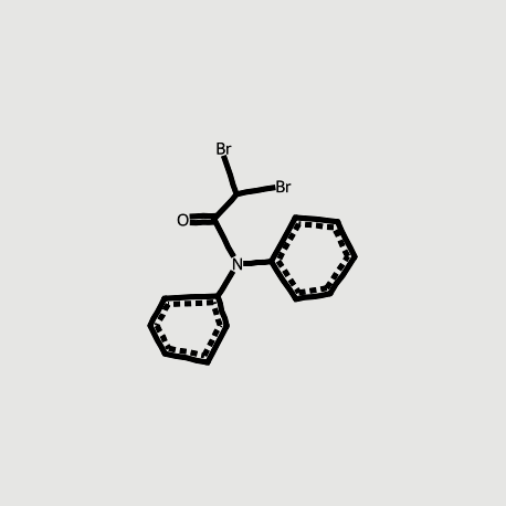 O=C(C(Br)Br)N(c1ccccc1)c1ccccc1